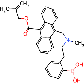 C=C(C)COC(=O)c1c2ccccc2c(CN(C)CCc2ccccc2B(O)O)c2ccccc12